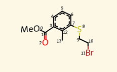 COC(=O)c1cccc(SCCBr)c1C